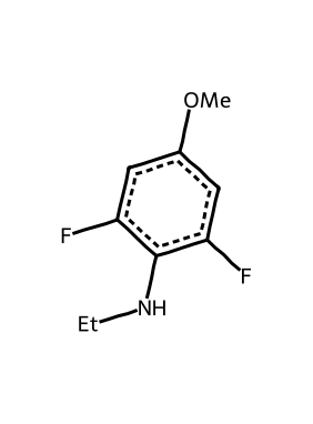 CCNc1c(F)cc(OC)cc1F